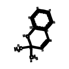 CC1(C)C=Cc2ccc[c]c2O1